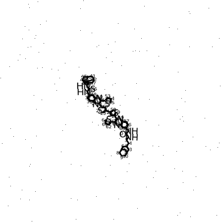 O=C(NCCC1CC2CCCC(C2)C1)Nc1ccc2nc(-c3cc(-c4csc(-c5nc6ccc(NC(=S)NC78CC9CC(CC(C9)C7)C8)cc6nc5-c5cccs5)c4)cs3)c(-c3cccs3)nc2c1